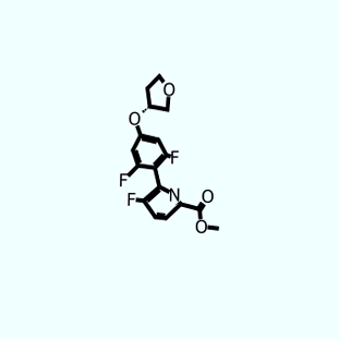 COC(=O)c1ccc(F)c(-c2c(F)cc(O[C@@H]3CCOC3)cc2F)n1